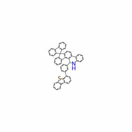 c1cc(-c2cccc3c2sc2ccccc23)cc(C2Nc3ccccc3-c3ccc4c(c32)-c2ccccc2C42c3ccccc3-c3ccccc32)c1